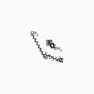 CCCCCCCCCCCCCCC1COC(COCCCC[n+]2ccsc2)C1.Cc1ccc(S(=O)(=O)[O-])cc1